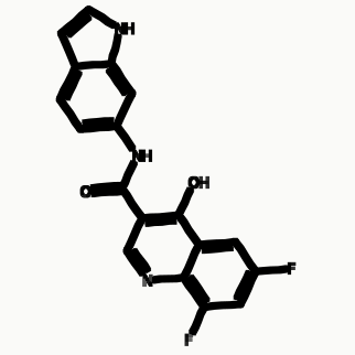 O=C(Nc1ccc2cc[nH]c2c1)c1cnc2c(F)cc(F)cc2c1O